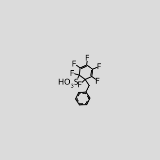 O=S(=O)(O)C1(F)C(F)=C(F)C(F)=C(F)C1(F)Cc1ccccc1